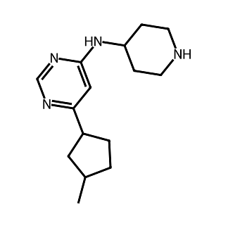 CC1CCC(c2cc(NC3CCNCC3)ncn2)C1